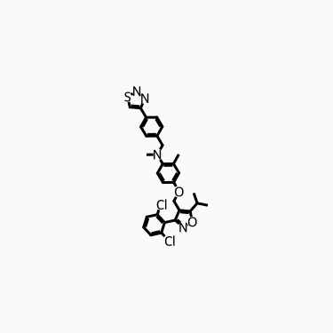 Cc1cc(OCc2c(-c3c(Cl)cccc3Cl)noc2C(C)C)ccc1N(C)Cc1ccc(-c2csnn2)cc1